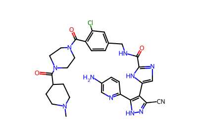 CN1CCC(C(=O)N2CCN(C(=O)c3ccc(CNC(=O)c4ncc(-c5c(C#N)n[nH]c5-c5ccc(N)cn5)[nH]4)cc3Cl)CC2)CC1